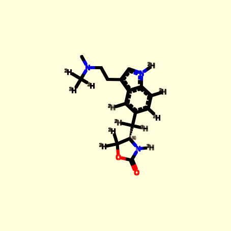 [2H]c1c(C([2H])([2H])[C@@H]2N([2H])C(=O)OC2([2H])[2H])c([2H])c2c(CCN(C)C([2H])([2H])[2H])cn([2H])c2c1[2H]